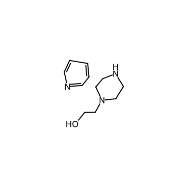 OCCN1CCNCC1.c1ccncc1